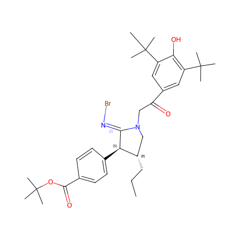 CCC[C@H]1CN(CC(=O)c2cc(C(C)(C)C)c(O)c(C(C)(C)C)c2)/C(=N\Br)[C@@H]1c1ccc(C(=O)OC(C)(C)C)cc1